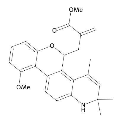 C=C(CC1Oc2cccc(OC)c2-c2ccc3c(c21)C(C)=CC(C)(C)N3)C(=O)OC